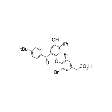 CC(C)c1cc(Oc2c(Br)cc(CC(=O)O)cc2Br)c(C(=O)c2ccc(C(C)(C)C)cc2)cc1O